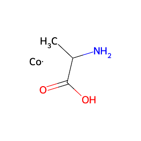 CC(N)C(=O)O.[Co]